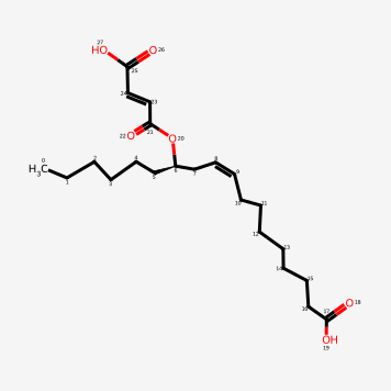 CCCCCC[C@H](C/C=C\CCCCCCCC(=O)O)OC(=O)/C=C/C(=O)O